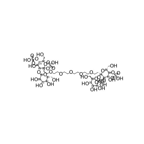 O=S(=O)(O)O[C@H]1[C@H](O)[C@@H](O[C@H]2O[C@H](CO)[C@@H](O)[C@H](O)[C@H]2O)[C@@](CCOCCOCCOCCOCCOCC[C@]2(OS(=O)(=O)O)O[C@H](CO)[C@@H](OS(=O)(=O)O)[C@H](O)[C@H]2O[C@H]2O[C@H](CO)[C@@H](O)[C@H](O)[C@H]2O)(OS(=O)(=O)O)O[C@@H]1CO